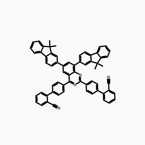 CC1(C)c2ccccc2-c2ccc(-c3cc(-c4ccc5c(c4)C(C)(C)c4ccccc4-5)c4nc(-c5ccc(-c6ccccc6C#N)cc5)nc(-c5ccc(-c6ccccc6C#N)cc5)c4c3)cc21